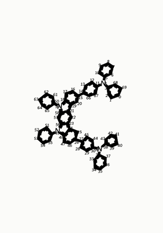 c1ccc(N(c2ccccc2)c2ccc(-c3ccc4c(c3)c3cc5c6cc(-c7ccc(N(c8ccccc8)c8ccccc8)cc7)ccc6n(-c6ccccc6)c5cc3n4-c3ccccc3)cc2)cc1